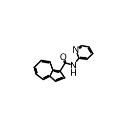 O=C(Nc1ccccn1)c1ccc2cccccc1-2